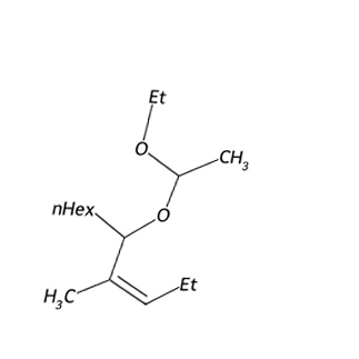 CCC=C(C)C(CCCCCC)OC(C)OCC